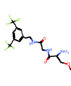 COCC(N)C(=O)NCC(=O)NCc1cc(C(F)(F)F)cc(C(F)(F)F)c1